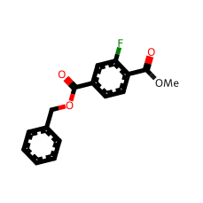 COC(=O)c1ccc(C(=O)OCc2ccccc2)cc1F